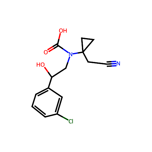 N#CCC1(N(CC(O)c2cccc(Cl)c2)C(=O)O)CC1